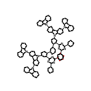 c1ccc(-c2nc(-c3ccccc3)nc(-c3cc(-n4c5ccc(-n6c7ccccc7c7ccccc76)cc5c5cc(-n6c7ccccc7c7ccccc76)ccc54)ccc3-c3cccc(-c4ccc(-n5c6ccc(-n7c8ccccc8c8ccccc87)cc6c6cc(-n7c8ccccc8c8ccccc87)ccc65)cc4-c4nc(-c5ccccc5)nc(-c5ccccc5)n4)c3)n2)cc1